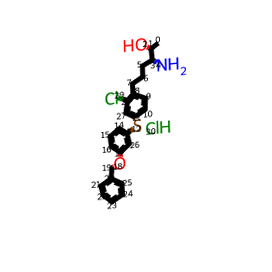 CC(O)C(N)CCCc1ccc(Sc2cccc(OCc3ccccc3)c2)cc1Cl.Cl